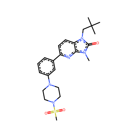 Cn1c(=O)n(CC(C)(C)C)c2ccc(-c3cccc(N4CCN(S(C)(=O)=O)CC4)c3)nc21